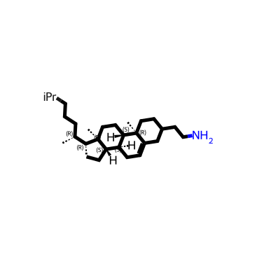 CC(C)CCC[C@@H](C)[C@H]1CC[C@H]2[C@@H]3CC=C4C[C](CCN)CC[C@]4(C)[C@H]3CC[C@]12C